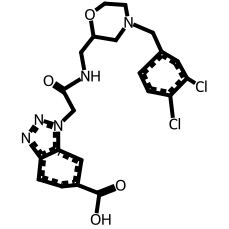 O=C(Cn1nnc2ccc(C(=O)O)cc21)NCC1CN(Cc2ccc(Cl)c(Cl)c2)CCO1